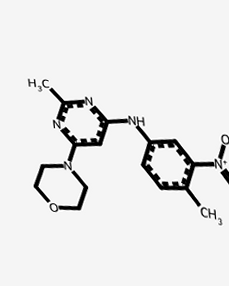 Cc1nc(Nc2ccc(C)c([N+](=O)[O-])c2)cc(N2CCOCC2)n1